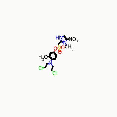 Cc1cc(OS(=O)(=O)CC2NC=C([N+](=O)[O-])N2C)ccc1N(CCCl)CCCl